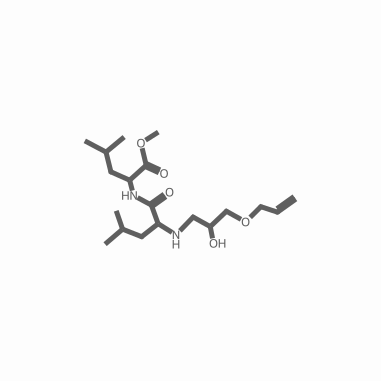 C=CCOCC(O)CNC(CC(C)C)C(=O)NC(CC(C)C)C(=O)OC